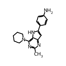 Cc1nc(N2CCCCC2)c2[nH]c(-c3ccc(N)cc3)cc2n1